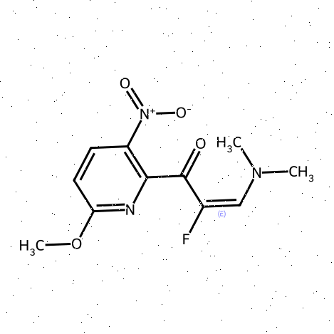 COc1ccc([N+](=O)[O-])c(C(=O)/C(F)=C\N(C)C)n1